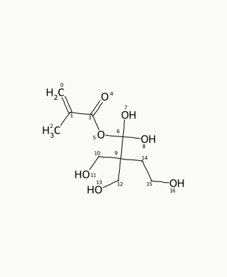 C=C(C)C(=O)OC(O)(O)C(CO)(CO)CCO